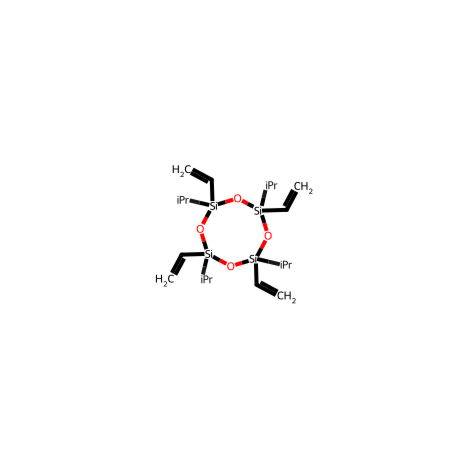 C=C[Si]1(C(C)C)O[Si](C=C)(C(C)C)O[Si](C=C)(C(C)C)O[Si](C=C)(C(C)C)O1